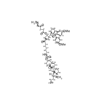 CN=NC(=O)CCC(=O)OC1CN(C(=O)CCCCCNC(=O)OC2CC[C@@]3(C)C(=CCC4C3CC[C@@]3(C)C4CC[C@@H]3C(C)CCCC(C)C)C2)CC1COC(c1ccccc1)(c1ccc(OC)cc1)c1ccc(OC)cc1